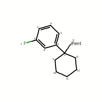 CCCC(C)C1(c2cccc(F)c2)CCCCC1